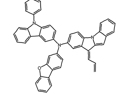 C=C/C=c1/c2cc(N(c3ccc4c(c3)oc3ccccc34)c3ccc4c(c3)c3ccccc3n4-c3ccccc3)ccc2n2c1cc1ccccc12